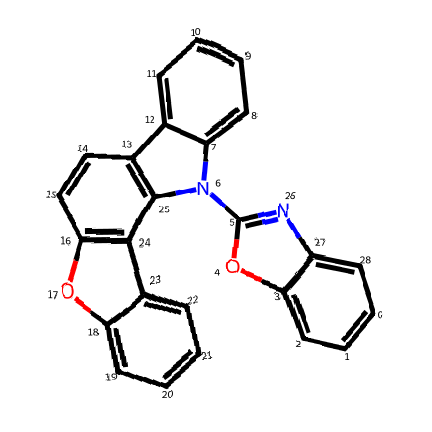 c1ccc2oc(-n3c4ccccc4c4ccc5oc6ccccc6c5c43)nc2c1